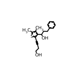 Cc1sc(C#CCCO)c(C(O)CCc2ccccc2)c1C